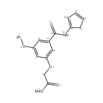 COC(=O)COc1cc(OC(C)C)cc(C(=O)NC2=NC=CC2)c1